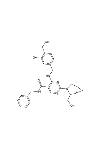 O=C(NCc1ccccc1)c1cnc(N2CC3CC3C2CO)nc1NCc1ccc(CO)c(Cl)c1